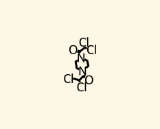 O=C(C(Cl)Cl)N1CCN(C(=O)C(Cl)Cl)CC1